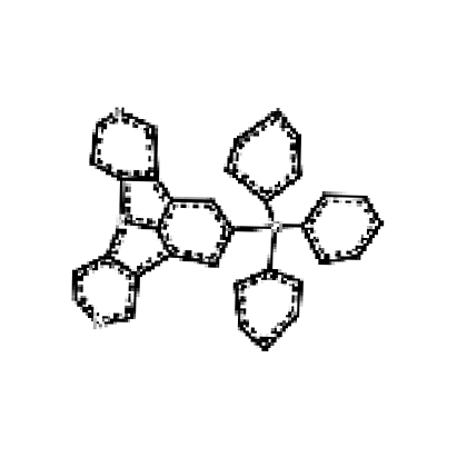 c1ccc([Si](c2ccccc2)(c2ccccc2)c2cc3c4cnccc4n4c5ccncc5c(c2)c34)cc1